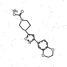 CC(C)(C)OC(=O)N1CCC(c2cc(-c3ccc4c(c3)OCCO4)no2)CC1